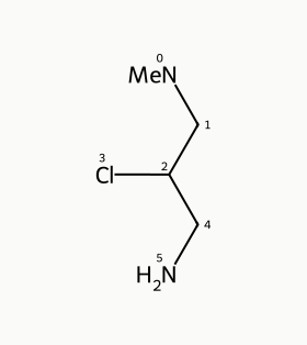 CNCC(Cl)CN